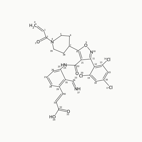 C=CC(=O)N1CCC(c2onc(-c3c(Cl)cc(Cl)cc3Cl)c2C(=O)Nc2cccc(/C=C/C(=O)O)c2C=N)CC1